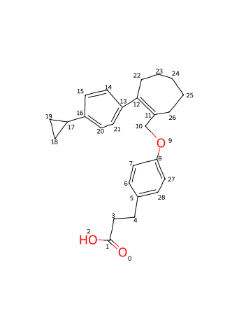 O=C(O)CCc1ccc(OCC2=C(c3ccc(C4CC4)cc3)CCCCC2)cc1